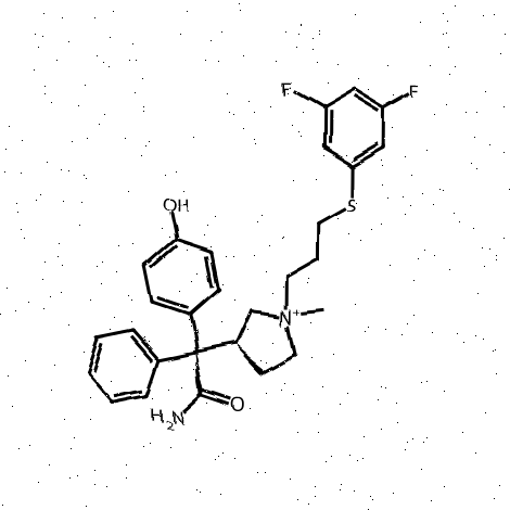 C[N+]1(CCCSc2cc(F)cc(F)c2)CC[C@@H]([C@](C(N)=O)(c2ccccc2)c2ccc(O)cc2)C1